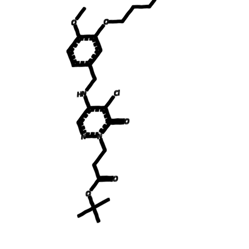 CCCCCOc1cc(CNc2cnn(CCC(=O)OC(C)(C)C)c(=O)c2Cl)ccc1OC